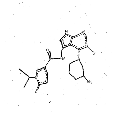 CC(C)n1nc(C(=O)Nc2c[nH]c3ncc(Br)c(N4CCCC(N)C4)c23)ccc1=O